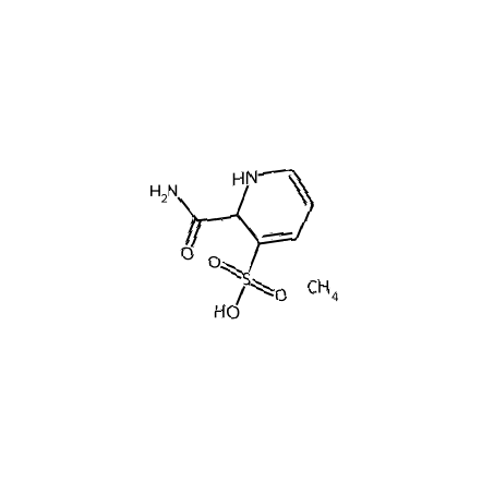 C.NC(=O)C1NC=CC=C1S(=O)(=O)O